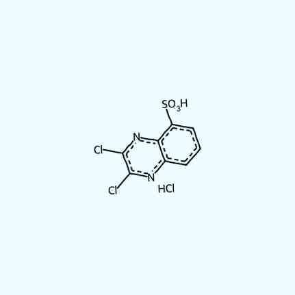 Cl.O=S(=O)(O)c1cccc2nc(Cl)c(Cl)nc12